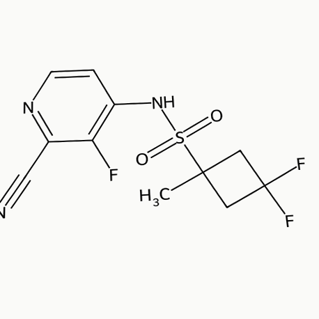 CC1(S(=O)(=O)Nc2ccnc(C#N)c2F)CC(F)(F)C1